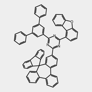 c1ccc(-c2cc(-c3ccccc3)cc(-c3nc(-c4ccc5c(c4)C4(c6ccccc6-c6ccccc6-5)c5ccccc5-c5ccccc54)nc(-c4cccc5oc6ccccc6c45)n3)c2)cc1